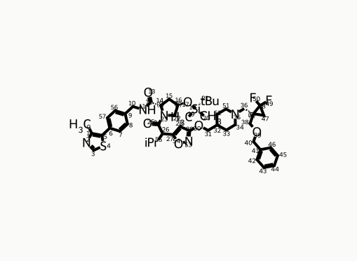 Cc1ncsc1-c1ccc(CNC(=O)[C@@H]2C[C@@H](O[Si](C)(C)C(C)(C)C)CN2C(=O)C(c2cc(OCC3CCN(C[C@@]4(COCc5ccccc5)CC4(F)F)CC3)no2)C(C)C)cc1